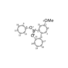 COc1cccc(B(Oc2ccccc2)Oc2ccccc2)c1